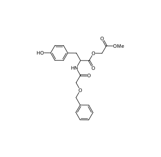 COC(=O)COC(=O)C(Cc1ccc(O)cc1)NC(=O)COCc1ccccc1